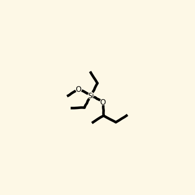 CCC(C)O[Si](CC)(CC)OC